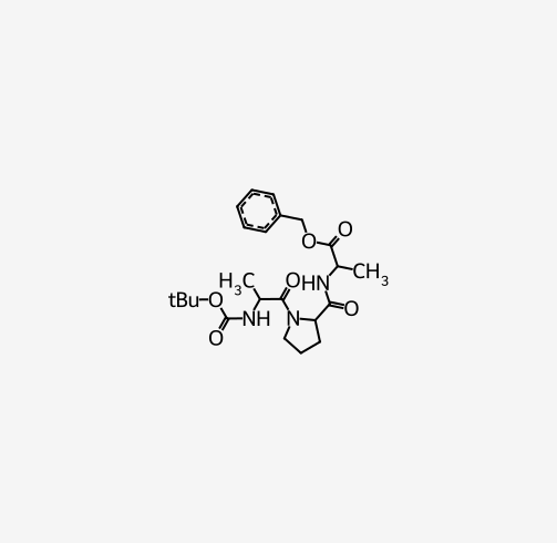 CC(NC(=O)C1CCCN1C(=O)C(C)NC(=O)OC(C)(C)C)C(=O)OCc1ccccc1